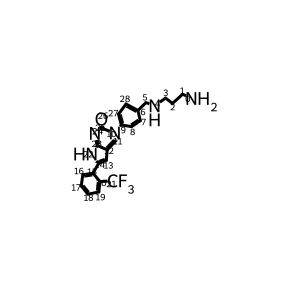 NCCCNCc1ccc(-n2cc3cc(-c4ccccc4C(F)(F)F)[nH]c3nc2=O)cc1